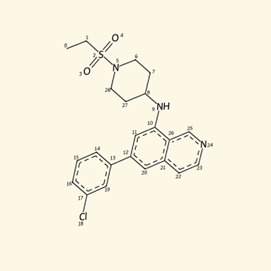 CCS(=O)(=O)N1CCC(Nc2cc(-c3cccc(Cl)c3)cc3ccncc23)CC1